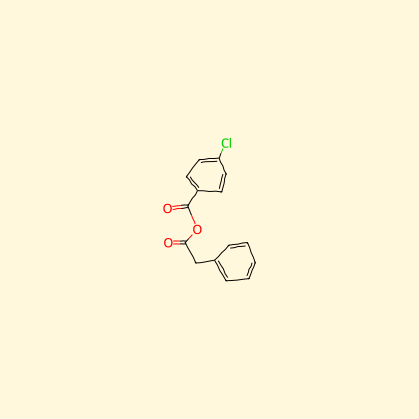 O=C(Cc1ccccc1)OC(=O)c1ccc(Cl)cc1